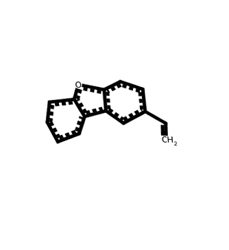 C=Cc1ccc2oc3ccccc3c2c1